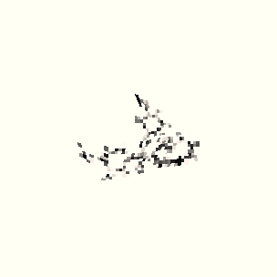 COc1ccc(S(=O)(=O)c2sc3ncccc3c2-c2ccc(F)cc2)cc1F